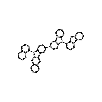 c1ccc2cc3c(cc2c1)c1cc(-c2ccc4c(c2)c2ccccc2n4-c2cccc4c2sc2ccccc24)ccc1n3-c1cccc2ccccc12